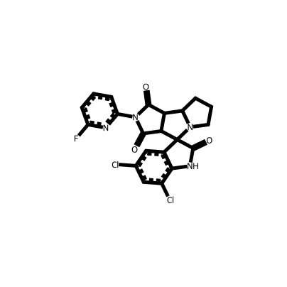 O=C1C2C3CCCN3C3(C(=O)Nc4c(Cl)cc(Cl)cc43)C2C(=O)N1c1cccc(F)n1